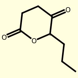 CCC[C]1OC(=O)CCC1=O